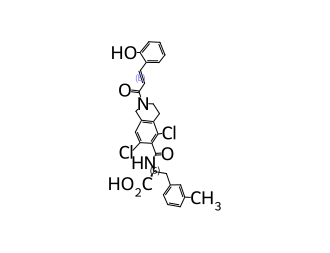 Cc1cccc(C[C@H](NC(=O)c2c(Cl)cc3c(c2Cl)CCN(C(=O)/C=C/c2ccccc2O)C3)C(=O)O)c1